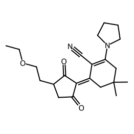 CCOCCC1CC(=O)/C(=C2\CC(C)(C)CC(N3CCCC3)=C2C#N)C1=O